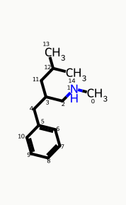 CNCC(Cc1ccccc1)CC(C)C